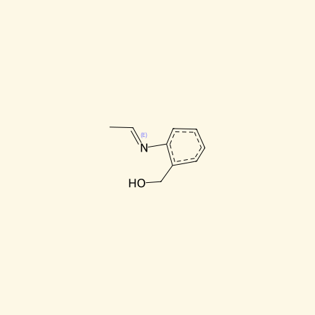 C/C=N/c1ccccc1CO